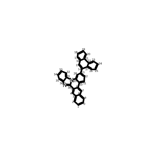 c1ccc2cc3c(cc2c1)c1ccc(-c2cc4ccccc4c4ccccc24)cc1n1c2ccccc2nc31